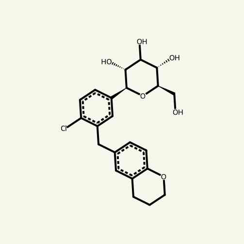 OC[C@H]1O[C@@H](c2ccc(Cl)c(Cc3ccc4c(c3)CCCO4)c2)[C@H](O)C(O)[C@@H]1O